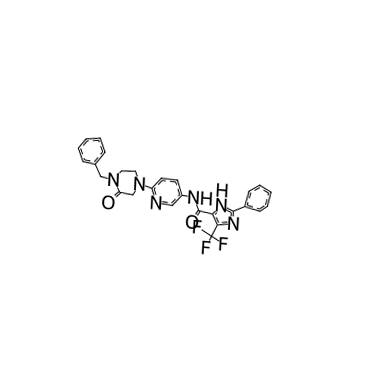 O=C(Nc1ccc(N2CCN(Cc3ccccc3)C(=O)C2)nc1)c1[nH]c(-c2ccccc2)nc1C(F)(F)F